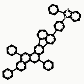 c1ccc(-c2ccc3c(c2)c(-c2ccccc2)cc2c4cc5c(cc4c(-c4ccccc4)cc32)-c2ccc(-c3ccc(-n4c(-c6ccccc6)nc6ccccc64)cc3)c3cccc-5c23)cc1